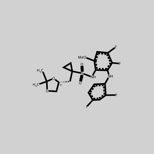 COc1cc(F)c(F)c(Nc2ccc(I)cc2F)c1NS(=O)(=O)C1(C[C@@H]2COC(C)(C)O2)CC1